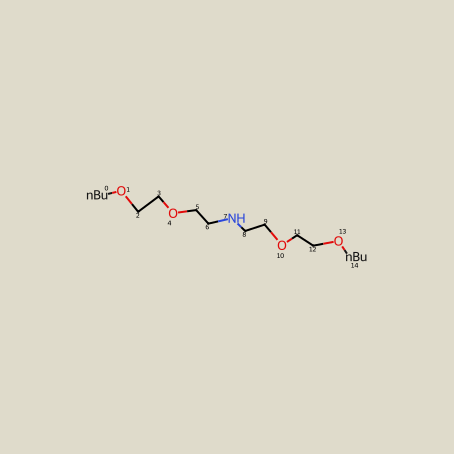 CCCCOCCOCCNCCOCCOCCCC